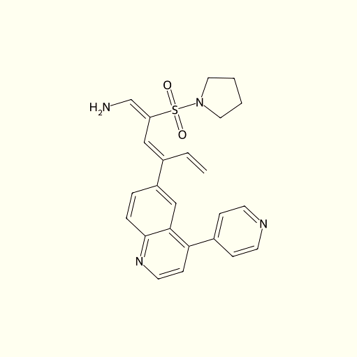 C=C/C(=C\C(=C/N)S(=O)(=O)N1CCCC1)c1ccc2nccc(-c3ccncc3)c2c1